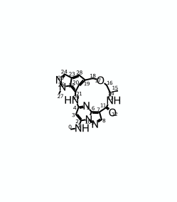 CNc1cc2nc3c(cnn13)C(=O)N[C@H](C)COCc1cc(c3c(cnn3C)c1)N2